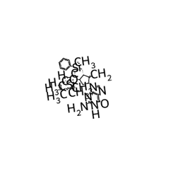 C=C1[C@@H](C[Si](C)(C)c2ccccc2)[C@H](O[Si](C)(C)C(C)(C)C)C[C@H]1n1cnc2c(=O)[nH]c(N)nc21